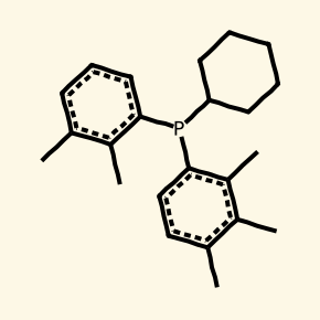 Cc1cccc(P(c2ccc(C)c(C)c2C)C2CCCCC2)c1C